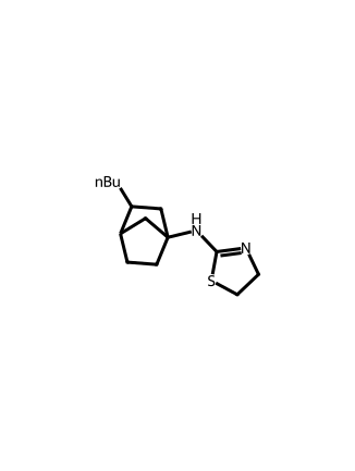 CCCCC1CC2(NC3=NCCS3)CCC1C2